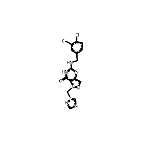 O=c1[nH]c(NCc2ccc(Cl)c(Cl)c2)nc2cnn(Cn3cncn3)c12